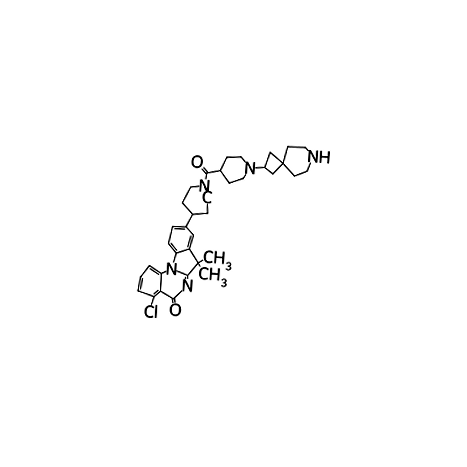 CC1(C)c2cc(C3CCN(C(=O)C4CCN(C5CC6(CCNCC6)C5)CC4)CC3)ccc2-n2c1nc(=O)c1c(Cl)cccc12